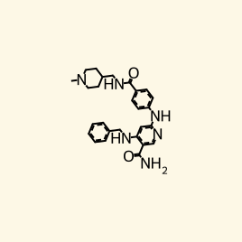 CN1CCC(CNC(=O)c2ccc(Nc3cc(NCc4ccccc4)c(C(N)=O)cn3)cc2)CC1